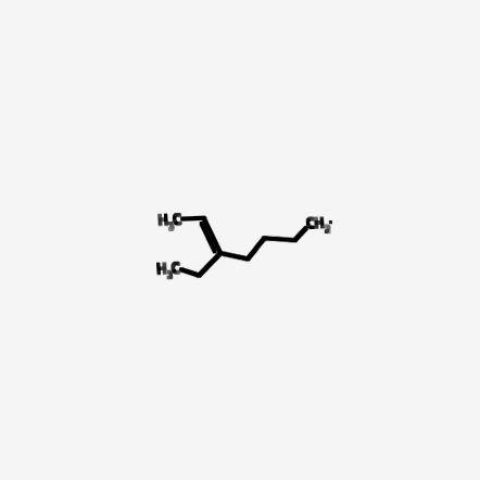 [CH2]CCCC(=CC)CC